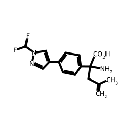 C=C(C)CC(N)(C(=O)O)c1ccc(-c2cnn(C(F)F)c2)cc1